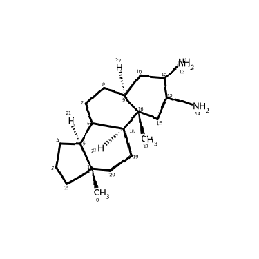 C[C@@]12CCC[C@H]1C1CC[C@H]3CC(N)C(N)C[C@]3(C)[C@H]1CC2